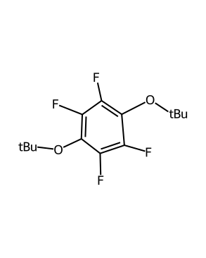 CC(C)(C)Oc1c(F)c(F)c(OC(C)(C)C)c(F)c1F